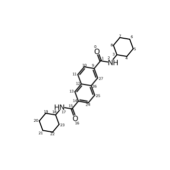 O=C(NC1CCCCC1)c1ccc2cc(C(=O)NC3CCCCC3)ccc2c1